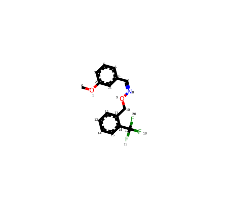 COc1cccc(/[C]=N\OCc2ccccc2C(F)(F)F)c1